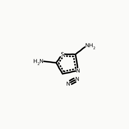 N#N.Nc1cnc(N)s1